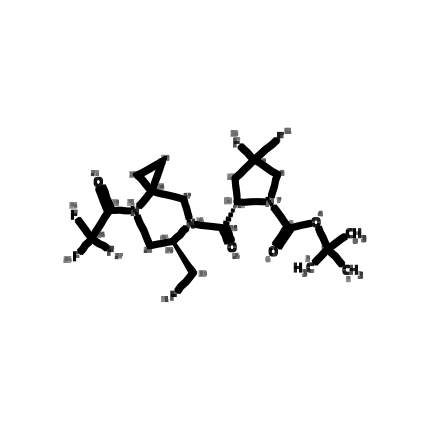 CC(C)(C)OC(=O)N1CC(F)(F)C[C@H]1C(=O)N1CC2(CC2)N(C(=O)C(F)(F)F)C[C@@H]1CF